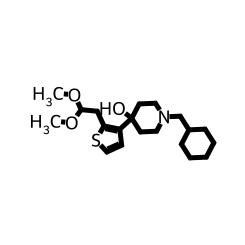 COC(Cc1sccc1C1(O)CCN(CC2CCCCC2)CC1)OC